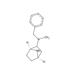 CN(Cc1ccccc1)C1C[C@H]2CC[C@@H]1N2